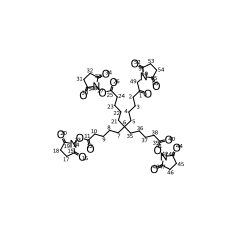 O=C(CCCCC(CCCCC(=O)ON1C(=O)CCC1=O)(CCCCC(=O)ON1C(=O)CCC1=O)CCCCC(=O)ON1C(=O)CCC1=O)CN1C(=O)CCC1=O